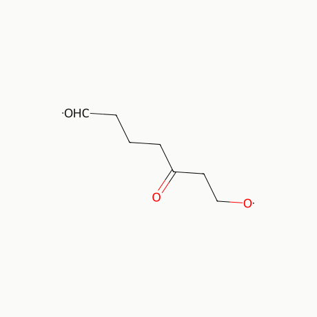 [O]CCC(=O)CCC[C]=O